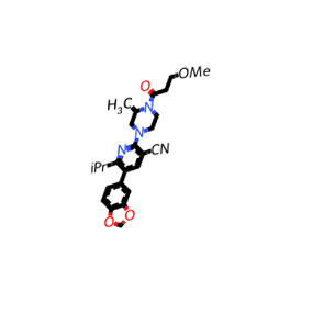 COCCC(=O)N1CCN(c2nc(C(C)C)c(-c3ccc4c(c3)OCO4)cc2C#N)CC1C